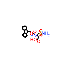 NS(=O)(=O)CC(CC(=O)O)NC(=O)OCC1c2ccccc2-c2ccccc21